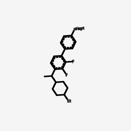 CCCCCCCc1ccc(-c2ccc(C(C)C3CCC(CC)CC3)c(F)c2F)cc1